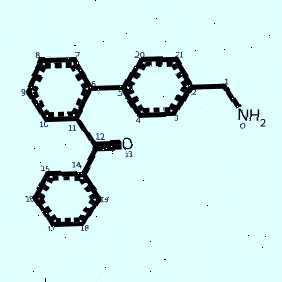 NCc1ccc(-c2ccccc2C(=O)c2ccccc2)cc1